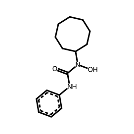 O=C(Nc1ccccc1)N(O)C1CCCCCCC1